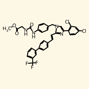 COC(=O)CNC(=O)Nc1ccc(Cn2cc(-c3ccc(Cl)cc3Cl)nc2C=Cc2ccc(-c3cccc(C(F)(F)F)c3)cc2)cc1